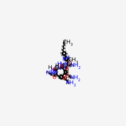 CCCCCCc1ccc(-c2ncc(C(=O)N[C@@H](CCN)C(=O)N(C)[C@@H]3C(=O)N[C@@H](C)C(=O)N[C@H](C(=O)NCC#N)Cc4ccc(OCCN)c(c4)-c4cc3ccc4OCCN)c(C)n2)cc1